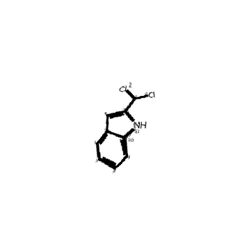 ClC(Cl)c1cc2ccccc2[nH]1